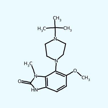 COc1ccc2[nH]c(=O)n(C)c2c1N1CCN(C(C)(C)C)CC1